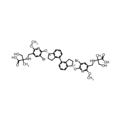 COc1nc(O[C@H]2CCc3c(-c4cccc5c4CC[C@@H]5Oc4nc(OC)c(CNC(C)(CO)C(=O)O)cc4Br)cccc32)c(Br)cc1CNC(C)(CO)C(=O)O